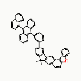 CC1(C)c2ccc(-c3cccc(-c4c5ccccc5c(-c5cccc6ccccc56)c5ccccc45)c3)cc2-c2cc3c(ccc4oc5ccccc5c43)cc21